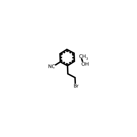 CO.N#Cc1ccccc1CCBr